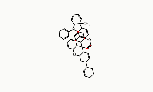 CC12C=CC=CC1N(C1=CCCC=C1)C1C(C3=CC=CC4OC5CC(C6C=CCCC6)C=CC5C5(c6ccccc6OC6=CC=CCC65)C34)=CC=CC12